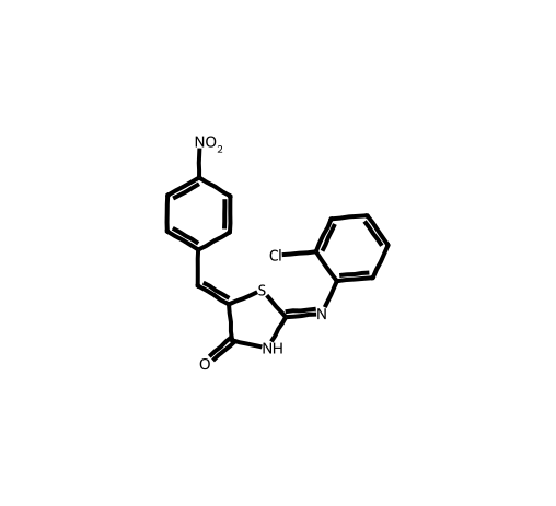 O=C1NC(=Nc2ccccc2Cl)SC1=Cc1ccc([N+](=O)[O-])cc1